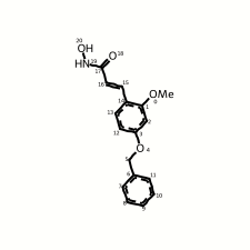 COc1cc(OCc2ccccc2)ccc1/C=C/C(=O)NO